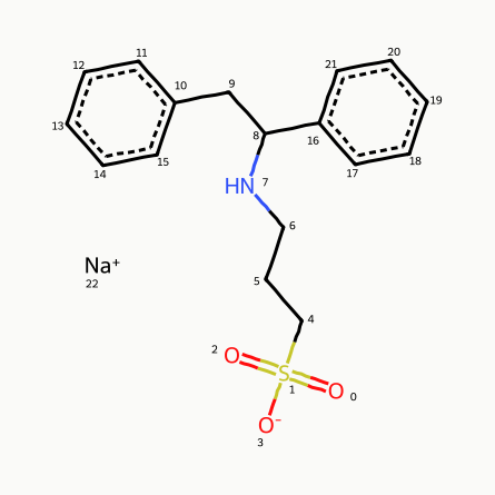 O=S(=O)([O-])CCCNC(Cc1ccccc1)c1ccccc1.[Na+]